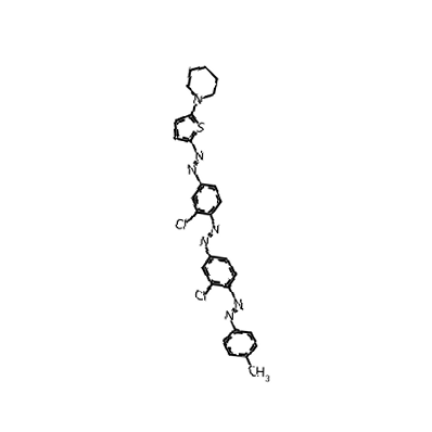 Cc1ccc(N=Nc2ccc(N=Nc3ccc(N=Nc4ccc(N5CCCCC5)s4)cc3Cl)cc2Cl)cc1